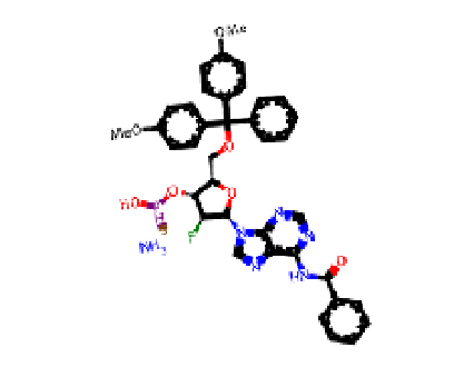 COc1ccc(C(OC[C@H]2O[C@@H](n3cnc4c(NC(=O)c5ccccc5)ncnc43)[C@@H](F)[C@@H]2O[PH](O)=S)(c2ccccc2)c2ccc(OC)cc2)cc1.N